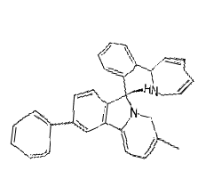 CC1=CC=C2c3cc(-c4ccccc4)ccc3[C@](C)(c3ccccc3C3C=CC=CN3)N2C1